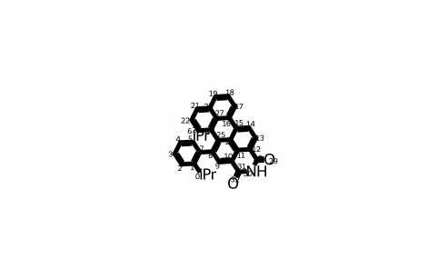 CC(C)c1cccc(C(C)C)c1-c1cc2c3c(ccc4c5cccc6cccc(c1c34)c65)C(=O)NC2=O